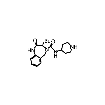 CCC(C)C1C(=O)Nc2ccccc2CN1C(=O)NC1CCNCC1